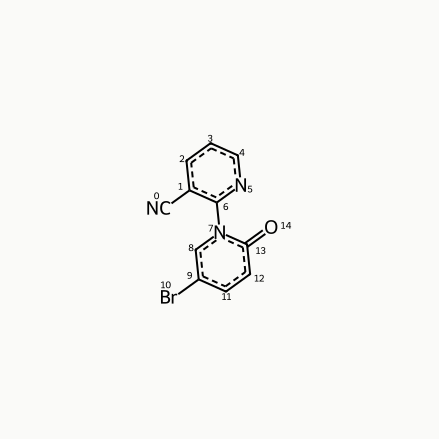 N#Cc1cccnc1-n1cc(Br)ccc1=O